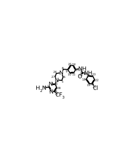 Nc1nc(N2CCN(Cc3ccc(NC(=O)Nc4ccc(Cl)cc4)cc3)CC2)cc(C(F)(F)F)n1